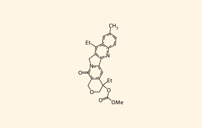 CCc1c2c(nc3ccc(C)cc13)-c1cc3c(c(=O)n1C2)COCC3(CC)OC(=O)OC